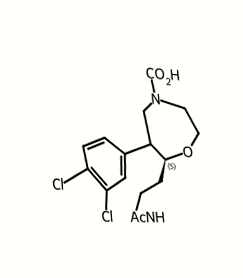 CC(=O)NCC[C@@H]1OCCN(C(=O)O)CC1c1ccc(Cl)c(Cl)c1